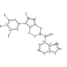 Cn1nc2c(c1-c1cc(F)c(F)c(F)c1)CCN(C(=O)c1cncc3cn[nH]c13)C2